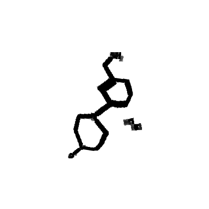 Cl.Cl.NCc1cccc(N2CC[S+]([O-])CC2)c1